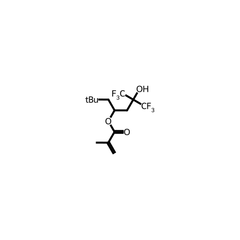 C=C(C)C(=O)OC(CC(C)(C)C)CC(O)(C(F)(F)F)C(F)(F)F